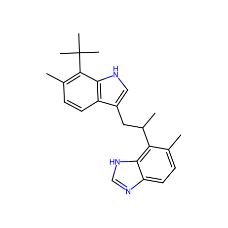 Cc1ccc2nc[nH]c2c1C(C)Cc1c[nH]c2c(C(C)(C)C)c(C)ccc12